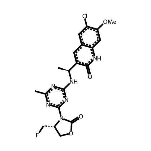 COc1cc2[nH]c(=O)c([C@H](C)Nc3nc(C)nc(N4C(=O)OC[C@@H]4CF)n3)cc2cc1Cl